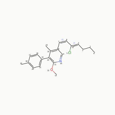 CCC/C=C(Cl)/C=C\c1cnc(OC)c(-c2ccc(C)cc2)c1C